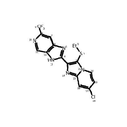 CCSc1c(-c2nc3cc(C(F)(F)F)ncc3[nH]2)nc2cc(Cl)ccn12